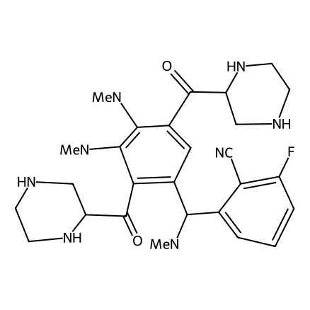 CNc1c(C(=O)C2CNCCN2)cc(C(NC)c2cccc(F)c2C#N)c(C(=O)C2CNCCN2)c1NC